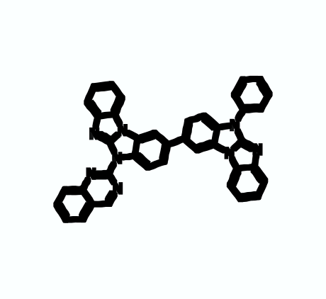 c1ccc(-n2c3ccc(-c4ccc5c(c4)n4c6ccccc6nc4n5-c4ncc5ccccc5n4)cc3n3c4ccccc4nc23)cc1